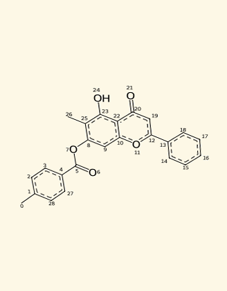 Cc1ccc(C(=O)Oc2cc3oc(-c4ccccc4)cc(=O)c3c(O)c2C)cc1